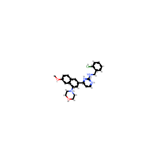 COc1ccc2cc(-c3ccnc(NCc4ccccc4Cl)n3)cc(N3CCOCC3)c2c1